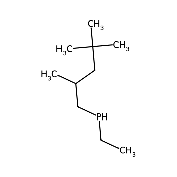 CCPCC(C)CC(C)(C)C